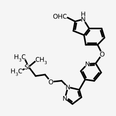 C[Si](C)(C)CCOCn1nccc1-c1ccc(Oc2ccc3[nH]c(C=O)cc3c2)nc1